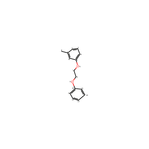 Cc1cccc(OCCOc2ccccc2)c1